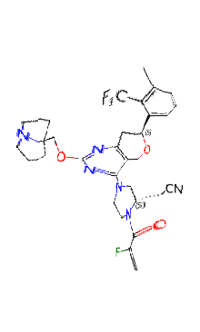 C=C(F)C(=O)N1CCN(c2nc(OCC34CCCN3CCC4)nc3c2CO[C@H](c2cccc(C)c2C(F)(F)F)C3)C[C@@H]1CC#N